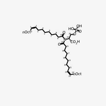 CCCCCCCC/C=C\CCCCCCCC(=O)N(C(=O)CCCCCCC/C=C\CCCCCCCC)[C@@H](COP(=O)(O)O)C(=O)O